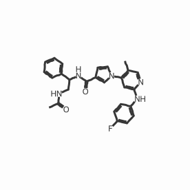 CC(=O)NCC(NC(=O)c1ccn(-c2cc(Nc3ccc(F)cc3)ncc2C)c1)c1ccccc1